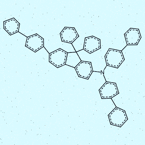 c1ccc(-c2ccc(-c3ccc4c(c3)C(c3ccccc3)(c3ccccc3)c3cc(N(c5ccc(-c6ccccc6)cc5)c5ccc(-c6ccccc6)cc5)ccc3-4)cc2)cc1